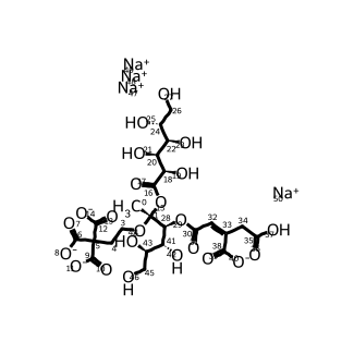 C[C@@](OCCC(C(=O)[O-])(C(=O)[O-])C(=O)[O-])(OC(=O)[C@H](O)[C@@H](O)[C@H](O)[C@H](O)CO)[C@@H](OC(=O)C=C(CC(=O)O)C(=O)[O-])[C@H](O)[C@H](O)CO.[Na+].[Na+].[Na+].[Na+]